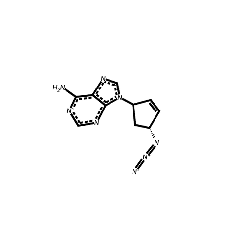 [N-]=[N+]=N[C@H]1C=CC(n2cnc3c(N)ncnc32)C1